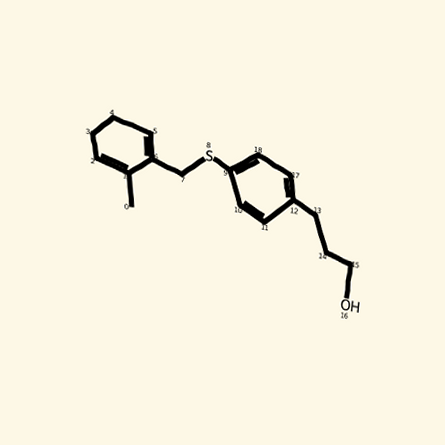 CC1=CCCC=C1CSc1ccc(CCCO)cc1